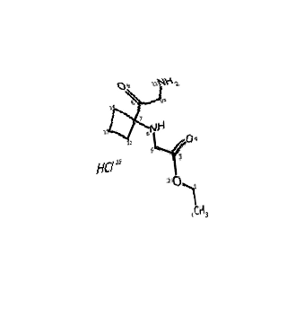 CCOC(=O)CNC1(C(=O)CN)CCC1.Cl